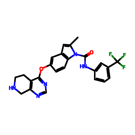 Cc1cc2cc(Oc3ncnc4c3CCNC4)ccc2n1C(=O)Nc1cccc(C(F)(F)F)c1